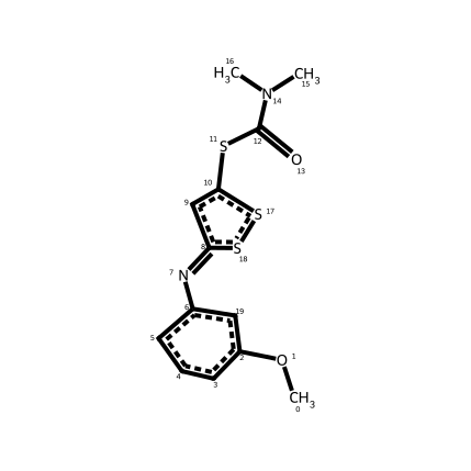 COc1cccc(/N=c2/cc(SC(=O)N(C)C)ss2)c1